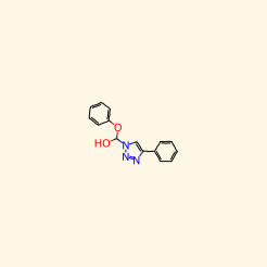 OC(Oc1ccccc1)n1cc(-c2ccccc2)nn1